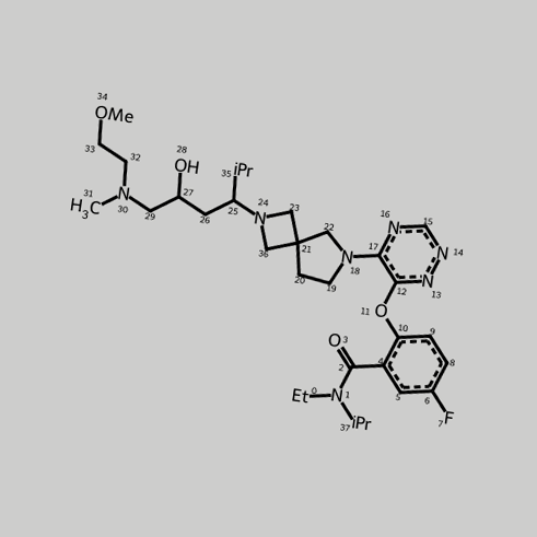 CCN(C(=O)c1cc(F)ccc1Oc1nncnc1N1CCC2(C1)CN(C(CC(O)CN(C)CCOC)C(C)C)C2)C(C)C